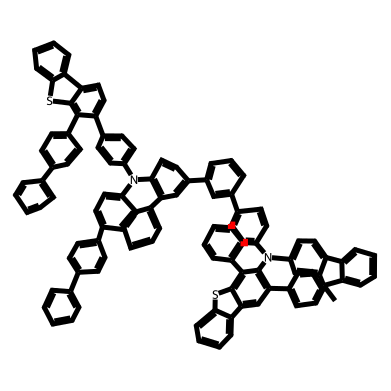 CC1(C)c2ccccc2-c2ccc(N(c3ccc(-c4cccc(-c5ccc(N(c6ccc(-c7ccc(-c8ccccc8)cc7)cc6)c6ccc(-c7ccc8c(sc9ccccc98)c7-c7ccc(-c8ccccc8)cc7)cc6)c(-c6ccccc6)c5)c4)cc3)c3c(-c4ccccc4)cc4c(sc5ccccc54)c3-c3ccccc3)cc21